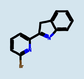 Brc1cccc(C2=Nc3ccccc3C2)n1